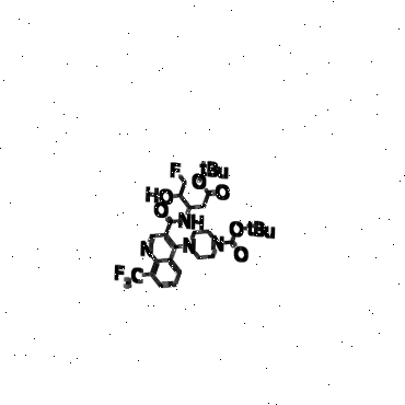 CC(C)(C)OC(=O)CC(NC(=O)c1cnc2c(C(F)(F)F)cccc2c1N1CCN(C(=O)OC(C)(C)C)CC1)C(O)CF